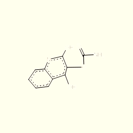 NC(=O)Oc1c(O)nc2ccccc2c1O